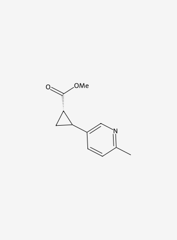 COC(=O)[C@H]1CC1c1ccc(C)nc1